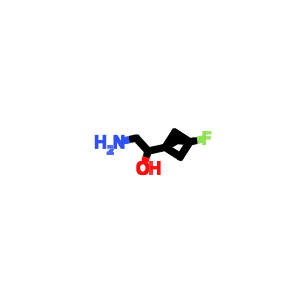 NCC(O)C12CC(F)(C1)C2